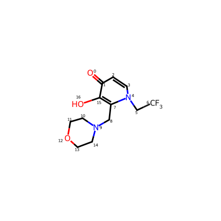 O=c1ccn(CC(F)(F)F)c(CN2CCOCC2)c1O